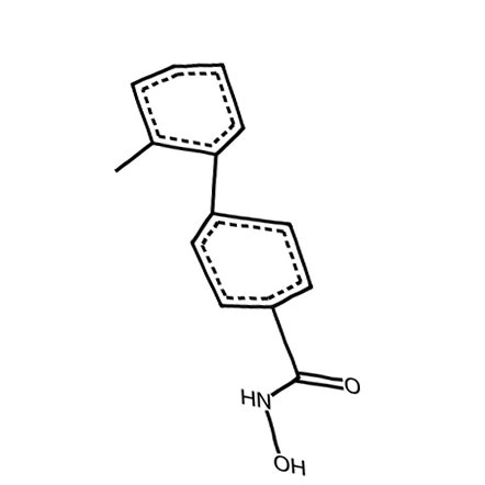 Cc1ccccc1-c1ccc(C(=O)NO)cc1